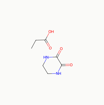 CCC(=O)O.O=C1NCCNC1=O